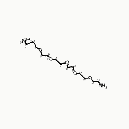 NCCCOCCOCCOCCOCCOCCN